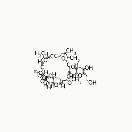 C=C1C2CC3O[C@H]4C[C@@H](O)[C@@H](CCO)O[C@H]4[C@H](C)[C@H]3OC(=O)C[C@H]3CC[C@@H]4O[C@@H]5[C@H]6OC7C[C@](CC[C@H]8CC(=C)[C@H](CCC(C[C@H]1C)O2)O8)(O[C@H]6[C@H]4O3)O[C@@H]75